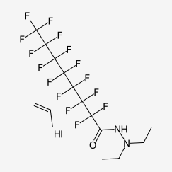 C=CC.CCN(CC)NC(=O)C(F)(F)C(F)(F)C(F)(F)C(F)(F)C(F)(F)C(F)(F)C(F)(F)F.I